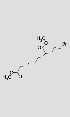 COC(=O)CCCCCCC(CCCBr)C(=O)OC